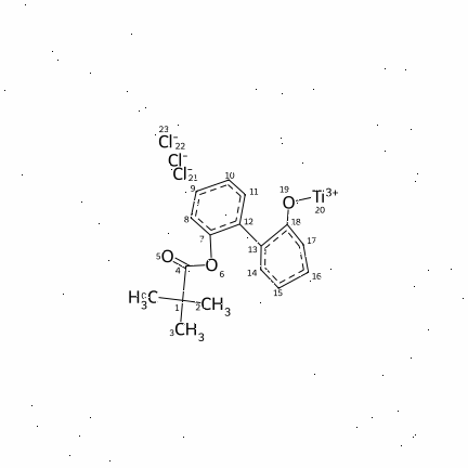 CC(C)(C)C(=O)Oc1ccccc1-c1ccccc1[O][Ti+3].[Cl-].[Cl-].[Cl-]